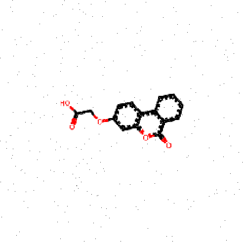 O=C(O)COc1ccc2c(c1)oc(=O)c1ccccc12